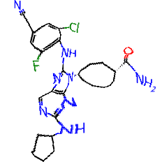 N#Cc1cc(F)c(Nc2nc3cnc(NC4CCCC4)nc3n2[C@H]2CC[C@@H](C(N)=O)CC2)c(Cl)c1